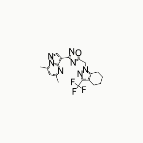 Cc1cc(C)n2ncc(-c3noc(Cn4nc(C(F)(F)F)c5c4CCCC5)n3)c2n1